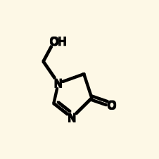 O=C1CN(CO)C=N1